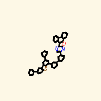 c1ccc(-c2ccc3sc4c(-c5cccc(-c6cccc(-c7cnc8c(n7)oc7c9ccccc9c9ccccc9c87)c6)c5)cc(-c5ccccc5)cc4c3c2)cc1